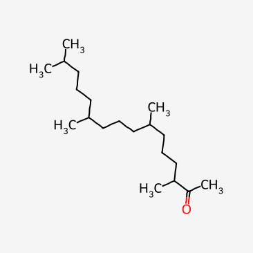 CC(=O)C(C)CCCC(C)CCCC(C)CCCC(C)C